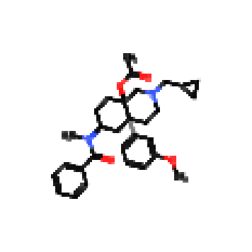 COc1cccc([C@@]23CCN(CC4CC4)C[C@@]2(OC(C)=O)CC[C@H](N(C)C(=O)c2ccccc2)C3)c1